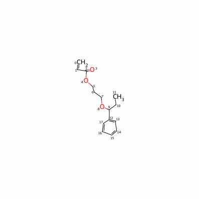 C=CC(=O)OCCCOC(CC)c1ccccc1